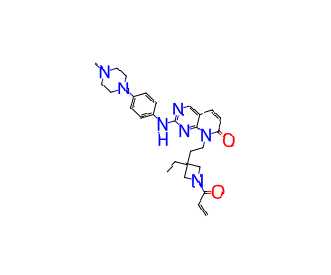 C=CC(=O)N1CC(CC)(CCn2c(=O)ccc3cnc(Nc4ccc(N5CCN(C)CC5)cc4)nc32)C1